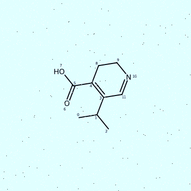 CC(C)C1=C(C(=O)O)CCN=C1